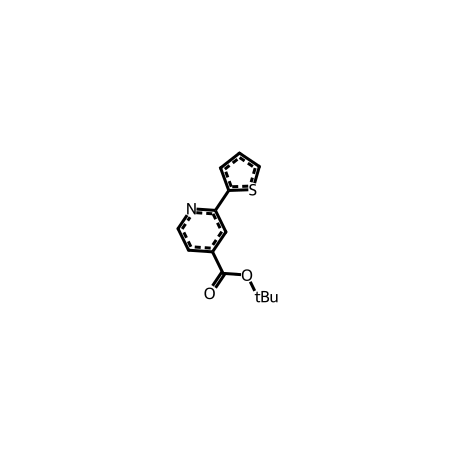 CC(C)(C)OC(=O)c1ccnc(-c2cccs2)c1